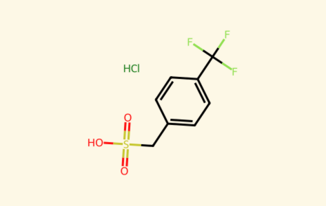 Cl.O=S(=O)(O)Cc1ccc(C(F)(F)F)cc1